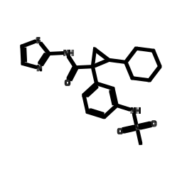 CS(=O)(=O)Nc1cccc(C2(C(=O)Nc3nccs3)CC2C2CCCCC2)c1